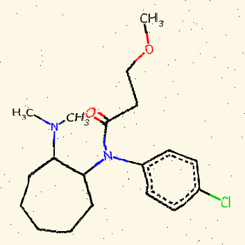 COCCC(=O)N(c1ccc(Cl)cc1)C1CCCCCC1N(C)C